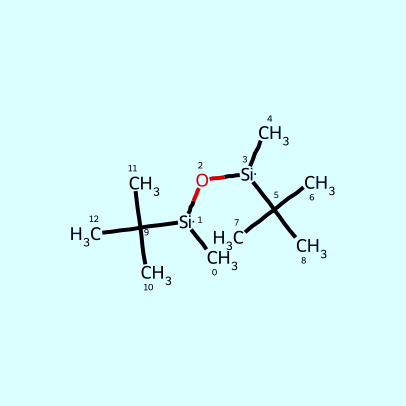 C[Si](O[Si](C)C(C)(C)C)C(C)(C)C